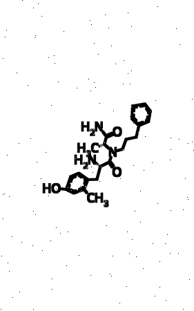 Cc1cc(O)ccc1C[C@H](N)C(=O)N(CCCc1ccccc1)[C@H](C)C(N)=O